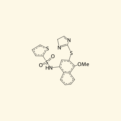 COc1c(SC2=NCC=N2)cc(NS(=O)(=O)c2cccs2)c2ccccc12